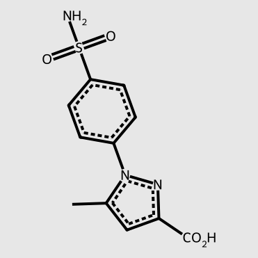 Cc1cc(C(=O)O)nn1-c1ccc(S(N)(=O)=O)cc1